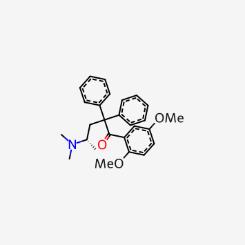 COc1ccc(OC)c(C(=O)C(C[C@H](C)N(C)C)(c2ccccc2)c2ccccc2)c1